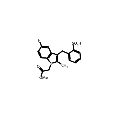 COC(=O)Cn1c(C)c(Cc2ccccc2S(=O)(=O)O)c2cc(F)ccc21